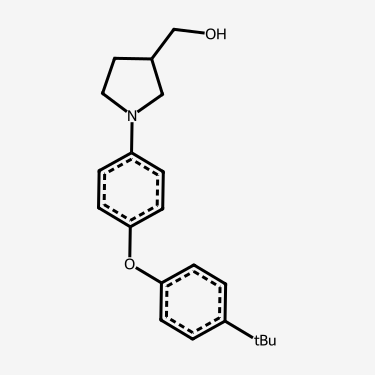 CC(C)(C)c1ccc(Oc2ccc(N3CCC(CO)C3)cc2)cc1